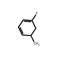 CC1C=CC=C(F)C1